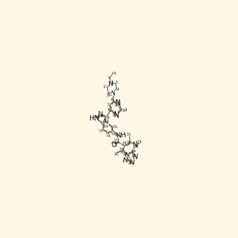 CCN1CCN(c2cc(-c3n[nH]c4ccc(NC(=O)C5=C(C)N(C)c6nnnn6[C@H]5C)cc34)ncn2)CC1